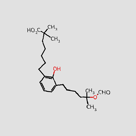 CC(C)(CCCCc1cccc(CCCCCC(C)(C)C(=O)O)c1O)OC=O